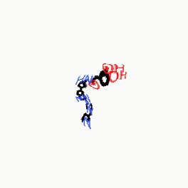 O=C(Cc1ccc(O)c(O)c1)Nc1ccc(-c2ccc3ncc(N4CCN(Cc5cccnc5)CC4)nc3c2)cc1